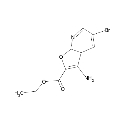 CCOC(=O)C1=C(N)C2C=C(Br)C=NC2O1